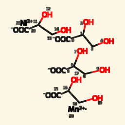 O=C([O-])C(O)CO.O=C([O-])C(O)CO.O=C([O-])C(O)CO.O=C([O-])C(O)CO.[Mn+2].[Ni+2]